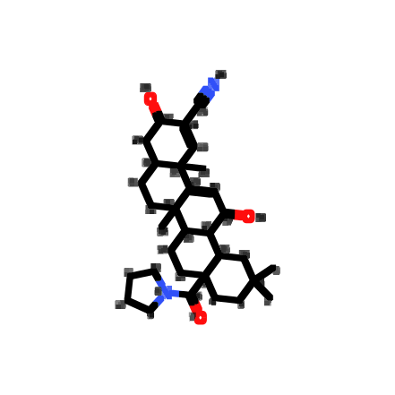 CC1(C)CCC2(C(=O)N3CCCC3)CCC3C(C(=O)C=C4C5(C)C=C(C#N)C(=O)CC5CCC43C)C2C1